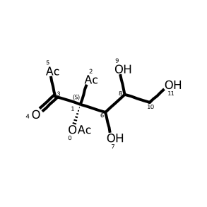 CC(=O)O[C@@](C(C)=O)(C(=O)C(C)=O)C(O)C(O)CO